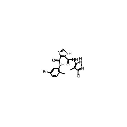 Cc1ccc(Br)cc1NC(=O)c1nc[nH]c1C(=O)Nc1[nH]nc(Cl)c1C